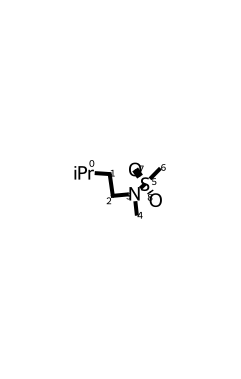 CC(C)CCN(C)S(C)(=O)=O